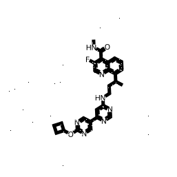 CNC(=O)c1c(F)cnc2c(C(C)CCNc3cc(-c4cnc(OC5CCC5)nc4)ncn3)cccc12